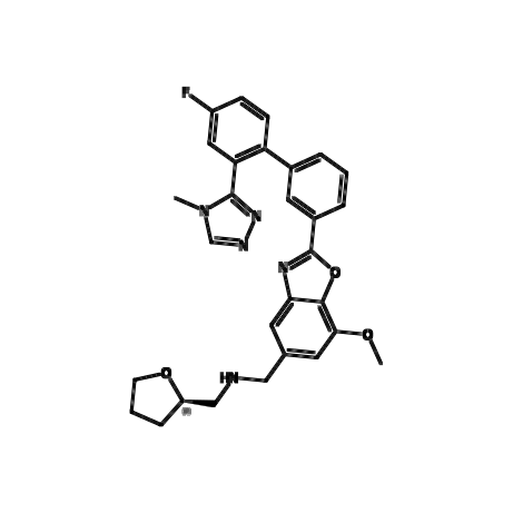 COc1cc(CNC[C@H]2CCCO2)cc2nc(-c3cccc(-c4ccc(F)cc4-c4nncn4C)c3)oc12